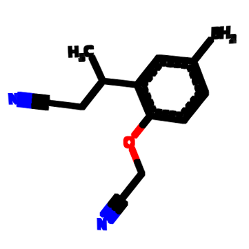 Bc1ccc(OCC#N)c(C(C)CC#N)c1